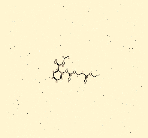 CCOC(=O)CCOC(=O)Oc1ccccc1C(=O)OCC